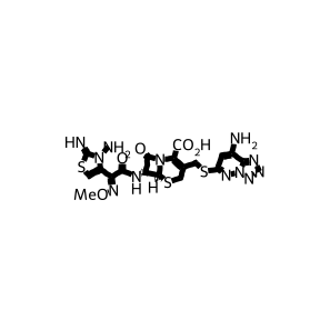 CON=C(C(=O)N[C@@H]1C(=O)N2C(C(=O)O)=C(CSc3cc(N)c4nnnn4n3)CS[C@@H]12)c1csc(=N)n1N